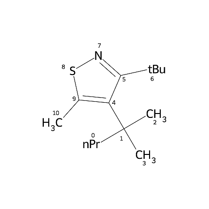 CCCC(C)(C)c1c(C(C)(C)C)nsc1C